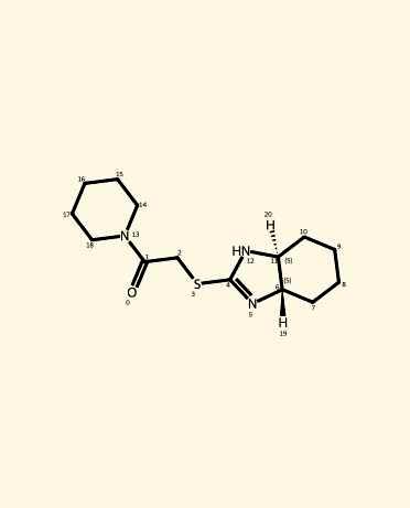 O=C(CSC1=N[C@H]2CCCC[C@@H]2N1)N1CCCCC1